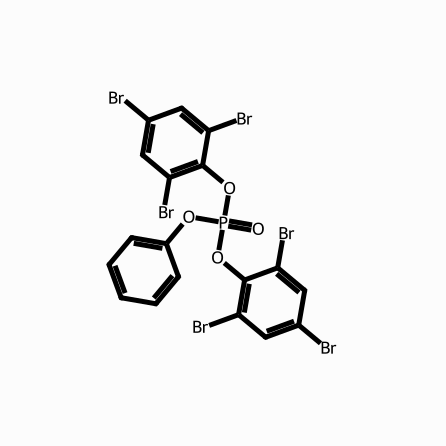 O=P(Oc1ccccc1)(Oc1c(Br)cc(Br)cc1Br)Oc1c(Br)cc(Br)cc1Br